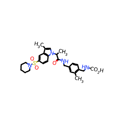 Cc1cc(CNC(=O)C(C)n2cc(C)c3cc(S(=O)(=O)N4CCCCC4)ccc32)ccc1CNC(=O)O